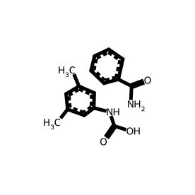 Cc1cc(C)cc(NC(=O)O)c1.NC(=O)c1ccccc1